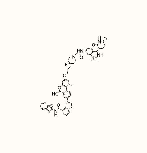 CNc1cc(NC(=O)CN2CCC(F)(CCCOc3ccc(-c4ccc(N5CCc6cccc(C(=O)Nc7nc8ccccc8s7)c6C5)nc4C(=O)O)c(C)c3)CC2)ccc1C(=N)C1CCC(=O)NC1=O